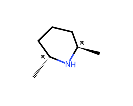 C[C@@H]1CCC[C@@H](C)N1